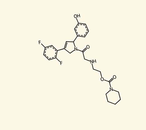 O=C(OCCNCC(=O)N1CC(c2cc(F)ccc2F)=CC1c1cccc(O)c1)N1CCCCC1